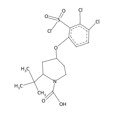 CC(C)(C)C1CC(Oc2ccc(Cl)c(Cl)c2S(=O)(=O)Cl)CCN1C(=O)O